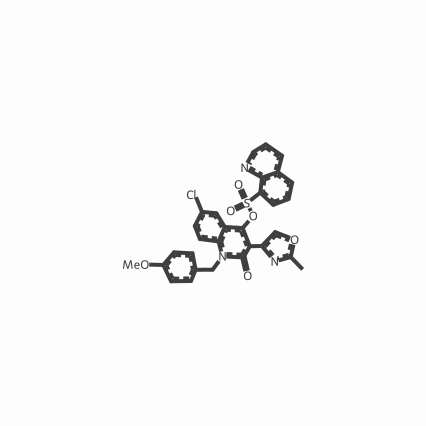 COc1ccc(Cn2c(=O)c(-c3coc(C)n3)c(OS(=O)(=O)c3cccc4cccnc34)c3cc(Cl)ccc32)cc1